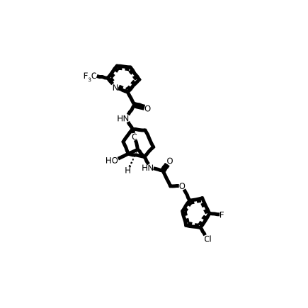 O=C(COc1ccc(Cl)c(F)c1)NC12CCC(NC(=O)c3cccc(C(F)(F)F)n3)(CC1)C[C@@H]2O